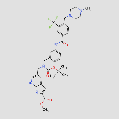 COC(=O)c1cc2cc(CN(Cc3cccc(NC(=O)c4ccc(CN5CCN(C)CC5)c(C(F)(F)F)c4)c3)C(=O)OC(C)(C)C)c[nH]c-2n1